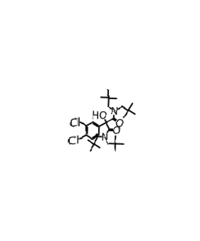 CC(C)(C)CN(CC(C)(C)C)C(=O)C(O)(C(=O)N(CC(C)(C)C)CC(C)(C)C)c1ccc(Cl)c(Cl)c1